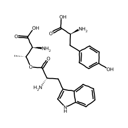 C[C@@H](OC(=O)[C@@H](N)Cc1c[nH]c2ccccc12)[C@H](N)C(=O)O.N[C@@H](Cc1ccc(O)cc1)C(=O)O